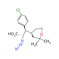 CC1(C)C[C@@H]([C@H](c2ccc(Cl)cc2)[C@H](N=[N+]=[N-])C(=O)O)CCO1